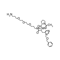 CC(=O)N1CCCC1C(=O)NC(Cc1cncn1COCc1ccccc1)C(=O)NCCCOCCOCCOCCCN